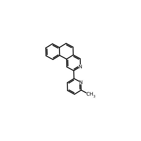 Cc1cccc(-c2cc3c(ccc4ccccc43)cn2)n1